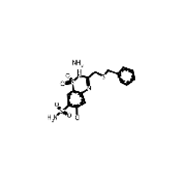 N.NS(=O)(=O)c1cc2c(cc1Cl)N=C(CSCc1ccccc1)NS2(=O)=O